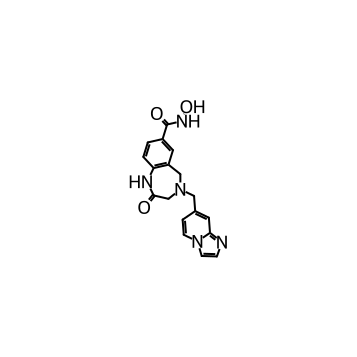 O=C1CN(Cc2ccn3ccnc3c2)Cc2cc(C(=O)NO)ccc2N1